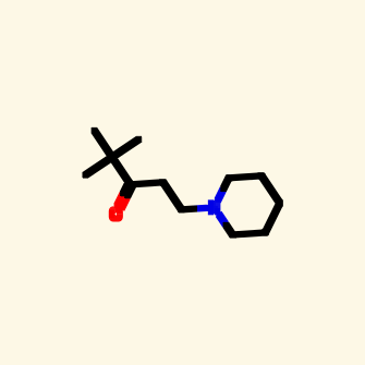 CC(C)(C)C(=O)CCN1CCCCC1